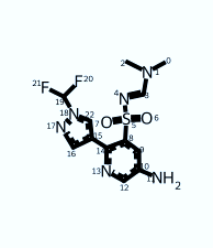 CN(C)C=NS(=O)(=O)c1cc(N)cnc1-c1cnn(C(F)F)c1